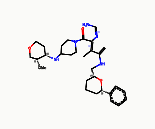 C=C(NC[C@H]1CCC[C@@H](c2ccccc2)O1)/C(C)=C(\N=C/N)C(=O)N1CCC(N[C@H]2CCOC[C@H]2OC)CC1